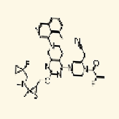 C=C(F)C(=O)N1CCN(c2nc(OCC3SC3(C)N(C)CC3(F)CC3)nc3c2CCN(c2cncc4cccc(C)c24)C3)C=C1CC#N